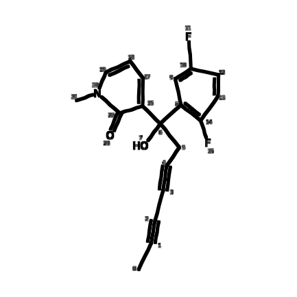 CC#CC#CCC(O)(c1cc(F)ccc1F)c1cccn(C)c1=O